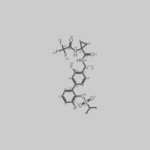 CC(C)S(=O)(=O)Oc1c(F)cccc1-c1ccc([C@@H](C)NC(=O)C2(NC(=O)C(F)(F)F)CC2)c(F)c1